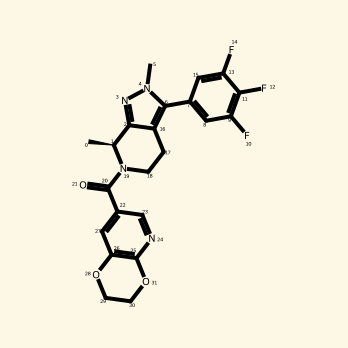 C[C@H]1c2nn(C)c(-c3cc(F)c(F)c(F)c3)c2CCN1C(=O)c1cnc2c(c1)OCCO2